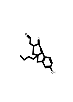 CCCCC12Cc3cc(O)ccc3C1=CC(=O)C(CC=O)C2